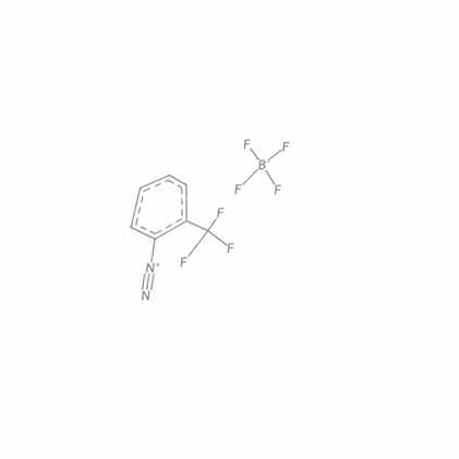 F[B-](F)(F)F.N#[N+]c1ccccc1C(F)(F)F